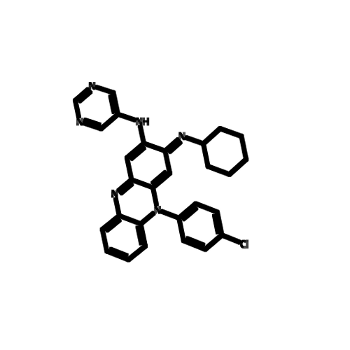 Clc1ccc(-n2c3c/c(=N\C4CCCCC4)c(Nc4cncnc4)cc-3nc3ccccc32)cc1